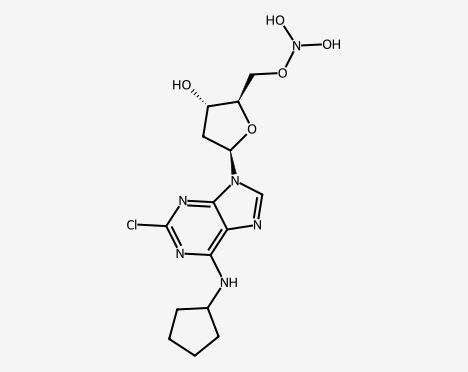 O[C@H]1C[C@H](n2cnc3c(NC4CCCC4)nc(Cl)nc32)O[C@@H]1CON(O)O